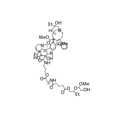 CCC(COC(=O)CCCC(=O)N[C@H](C)C(=O)OCCCNC(=O)[C@]1(O)C2N(C)c3cc(OC)c([C@@]4(C(=O)OC)C[C@@H]5C[N@](CCC6=C4Cc4ccccc46)CC(O)(CC)C5)cc3[C@@]23CCN2CC=C[C@](CC)(C23)[C@H]1O)OC(CO)OC